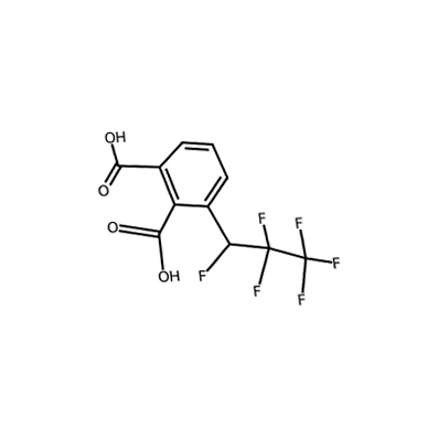 O=C(O)c1cccc(C(F)C(F)(F)C(F)(F)F)c1C(=O)O